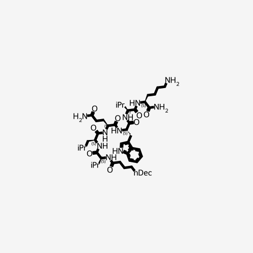 CCCCCCCCCCCCCC(=O)N[C@H](C(=O)N[C@@H](CC(C)C)C(=O)N[C@@H](CCC(N)=O)C(=O)N[C@@H](Cc1c[nH]c2ccccc12)C(=O)N[C@H](C(=O)N[C@@H](CCCCN)C(N)=O)C(C)C)C(C)C